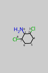 NC1C(Cl)CCCC1Cl